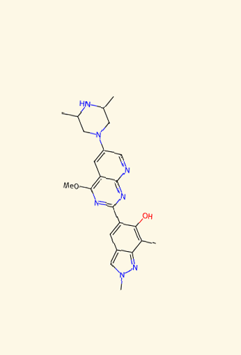 COc1nc(-c2cc3cn(C)nc3c(C)c2O)nc2ncc(N3CC(C)NC(C)C3)cc12